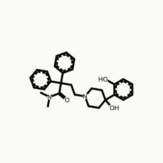 CN(C)C(=O)C(CCN1CCC(O)(c2ccccc2O)CC1)(c1ccccc1)c1ccccc1